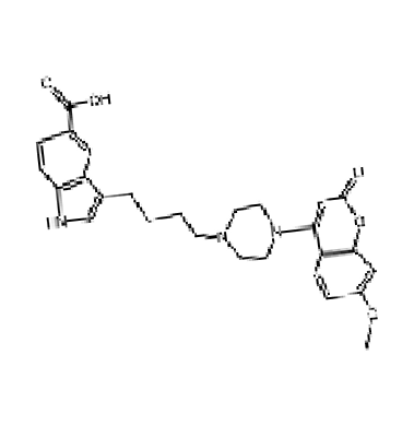 COc1ccc2c(N3CCN(CCCCc4c[nH]c5ccc(C(=O)O)cc45)CC3)cc(=O)oc2c1